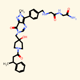 CC(CC(=O)N1CCC(O)(Cn2cnc3c(-c4ccc(CNCC(=O)NCC(N)=O)cc4)n(C)nc3c2=O)CC1)c1ccccc1